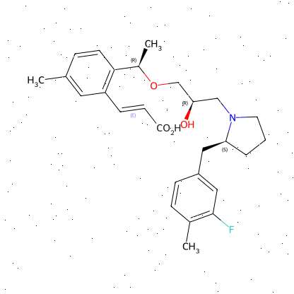 Cc1ccc([C@@H](C)OC[C@H](O)CN2CCC[C@H]2Cc2ccc(C)c(F)c2)c(/C=C/C(=O)O)c1